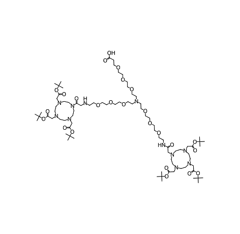 CC(C)(C)OC(=O)CN1CCN(CC(=O)NCCOCCOCCOCCN(CCOCCOCCOCCNCC(=O)N2CCN(CC(=O)OC(C)(C)C)CCN(CC(=O)OC(C)(C)C)CCN(CC(=O)OC(C)(C)C)CC2)CCOCCOCCOCCC(=O)O)CCN(CC(=O)OC(C)(C)C)CCN(CC(=O)OC(C)(C)C)CC1